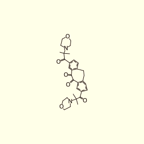 CC(C)(C(=O)c1ccc2c(c1)C(=O)C(=O)c1cc(C(=O)C(C)(C)N3CCOCC3)ccc1CC2)N1CCOCC1